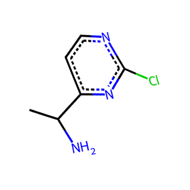 CC(N)c1ccnc(Cl)n1